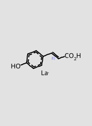 O=C(O)/C=C/c1ccc(O)cc1.[La]